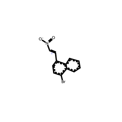 O=[N+]([O-])/C=C/c1ccc(Br)c2ccccc12